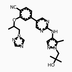 Cc1c(Nc2ncc(-c3ccc(C#N)c(OC(C)Cn4cncn4)c3)cn2)cnn1CC(C)(C)O